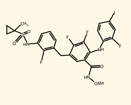 CONC(=O)c1cc(Cc2cccc(NS(=O)(=O)C3(C)CC3)c2F)c(F)c(F)c1Nc1ccc(I)cc1F